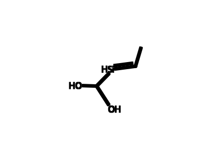 CC=[SiH]C(O)O